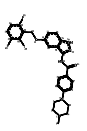 CN1CCN(c2ccc(C(=O)Nc3n[nH]c4ccc(OCc5c(F)ccc(F)c5I)cc34)cc2)CC1